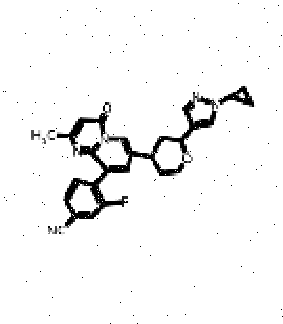 Cc1cc(=O)n2cc(C3CCOC(c4cnn(C5CC5)c4)C3)cc(-c3ccc(C#N)cc3F)c2n1